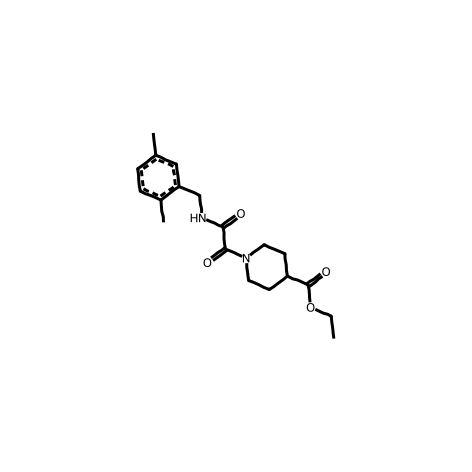 CCOC(=O)C1CCN(C(=O)C(=O)NCc2cc(C)ccc2C)CC1